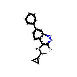 C[C@@H]([AsH]c1c(C#N)nnc2cc(-c3ccccc3)ccc12)C1CC1